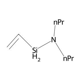 C=C[SiH2]N(CCC)CCC